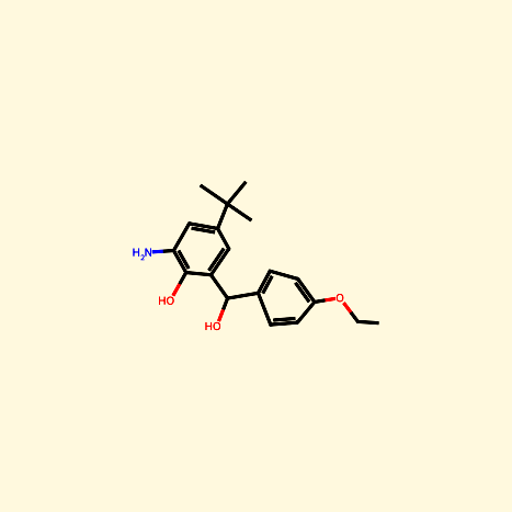 CCOc1ccc(C(O)c2cc(C(C)(C)C)cc(N)c2O)cc1